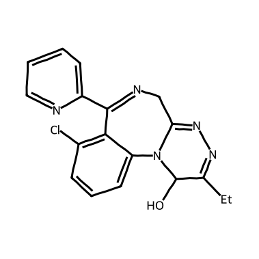 CCC1=NN=C2CN=C(c3ccccn3)c3c(Cl)cccc3N2C1O